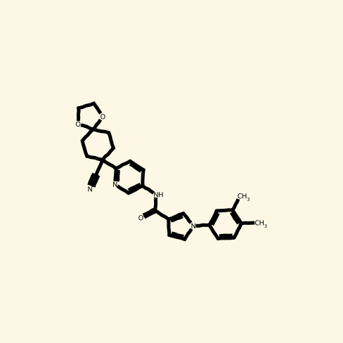 Cc1ccc(-n2ccc(C(=O)Nc3ccc(C4(C#N)CCC5(CC4)OCCO5)nc3)c2)cc1C